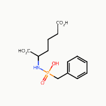 O=C(O)CCCC(NP(=O)(O)Cc1ccccc1)C(=O)O